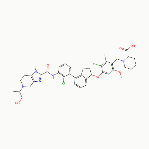 COc1cc(OC2CCc3c(-c4cccc(NC(=O)c5nc6c(n5C)CCN(C(C)CO)C6)c4Cl)cccc32)c(Cl)c(F)c1CN1CCCC[C@H]1C(=O)O